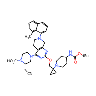 Cc1cccc2cccc(N3CCc4c(nc(OCC5(N6CCC(NC(=O)OC(C)(C)C)CC6)CC5)nc4N4CCN(C(=O)O)[C@@H](CC#N)C4)C3)c12